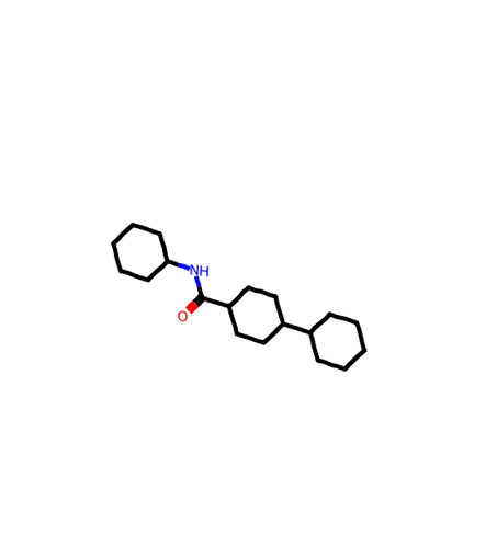 O=C(NC1CCCCC1)C1CCC(C2CCCCC2)CC1